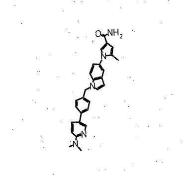 Cc1cc(C(N)=O)cn1-c1ccc2c(ccn2Cc2ccc(-c3ccc(N(C)C)nc3)cc2)c1